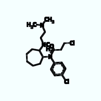 CN(C)CCN(C)C1CCCCCC1N(C(=O)CCCl)c1ccc(Cl)cc1